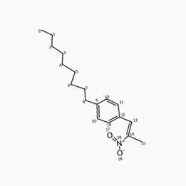 CCCCCCCCCc1ccc(C=C(C)[N+](=O)[O-])cc1